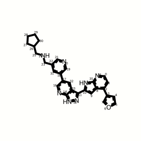 c1cc(-c2ccoc2)c2cc(-c3n[nH]c4ncc(-c5cncc(CNCC6CCCC6)c5)cc34)[nH]c2n1